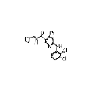 CC(C)c1cc(Nc2cccc(Cl)c2Cl)ncc1C(=O)NCC1CCC1